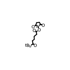 CC(C)(C)C(=O)CCCCC(=O)ON1C(=O)CCC1=O